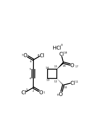 Cl.O=C(Cl)C#CC(=O)Cl.O=C(Cl)[C@@H]1CC[C@H]1C(=O)Cl